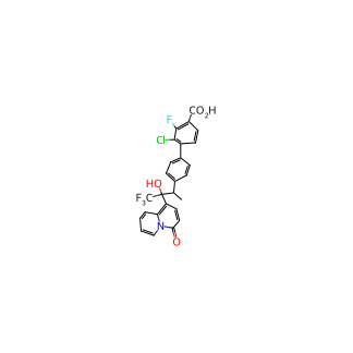 CC(c1ccc(-c2ccc(C(=O)O)c(F)c2Cl)cc1)C(O)(c1ccc(=O)n2ccccc12)C(F)(F)F